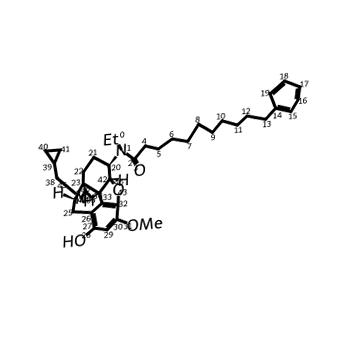 CCN(C(=O)CCCCCCCCCCc1ccccc1)[C@@H]1CC[C@H]2[C@H]3Cc4c(O)cc(OC)c5c4[C@@]2(CCN3CC2CC2)[C@H]1O5